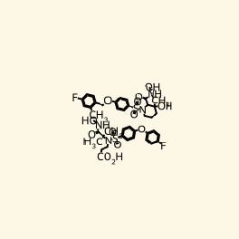 CC(C)(C(=O)NO)N(CCC(=O)O)S(=O)(=O)c1ccc(Oc2ccc(F)cc2)cc1.Cc1cc(F)ccc1COc1ccc(S(=O)(=O)N2CCCC(C)(O)C2C(=O)NO)cc1